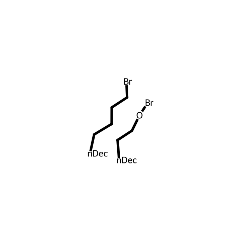 CCCCCCCCCCCCCCBr.CCCCCCCCCCCCOBr